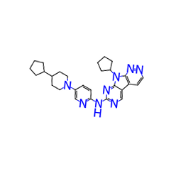 c1cc2c3cnc(Nc4ccc(N5CCC(C6CCCC6)CC5)cn4)nc3n(C3CCCC3)c2nn1